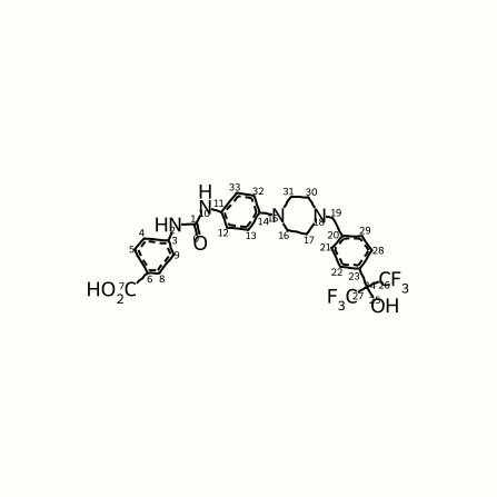 O=C(Nc1ccc(C(=O)O)cc1)Nc1ccc(N2CCN(Cc3ccc(C(O)(C(F)(F)F)C(F)(F)F)cc3)CC2)cc1